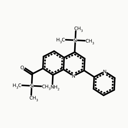 C[Si](C)(C)C(=O)c1ccc2c([Si](C)(C)C)cc(-c3ccccn3)nc2c1N